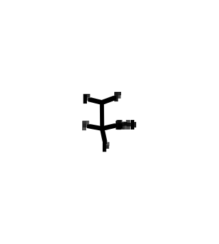 FC(F)[C](F)(F)[SnH]